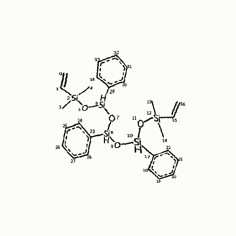 C=C[Si](C)(C)O[SiH](O[SiH](O[SiH](O[Si](C)(C)C=C)c1ccccc1)c1ccccc1)c1ccccc1